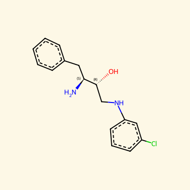 N[C@@H](Cc1ccccc1)[C@H](O)CNc1cccc(Cl)c1